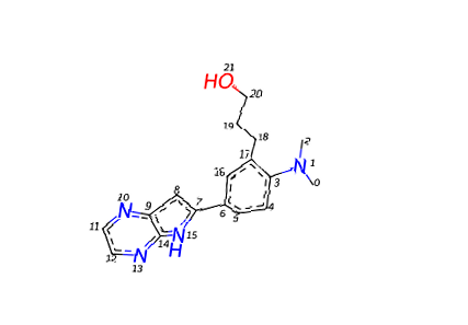 CN(C)c1ccc(-c2cc3nccnc3[nH]2)cc1CCCO